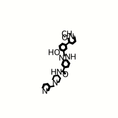 COc1ncccc1-c1ccc(O)c(-c2nc3cc(C(=O)NC4CCN(Cc5cccnc5)CC4)ccc3[nH]2)c1